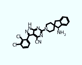 N#Cc1nc(N2CCC3(CC2)Cc2ccccc2[C@H]3N)nc2[nH]nc(-c3cccc(Cl)c3Cl)c12